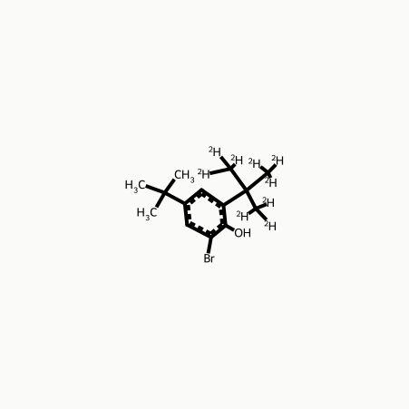 [2H]C([2H])([2H])C(c1cc(C(C)(C)C)cc(Br)c1O)(C([2H])([2H])[2H])C([2H])([2H])[2H]